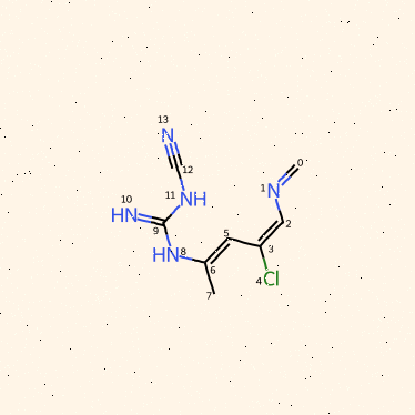 C=N/C=C(Cl)\C=C(/C)NC(=N)NC#N